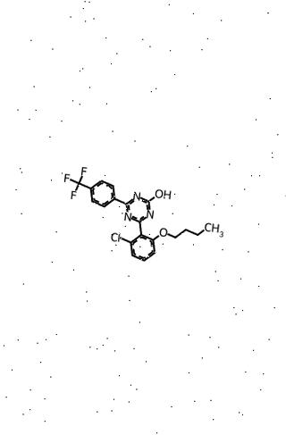 CCCCOc1cccc(Cl)c1-c1nc(O)nc(-c2ccc(C(F)(F)F)cc2)n1